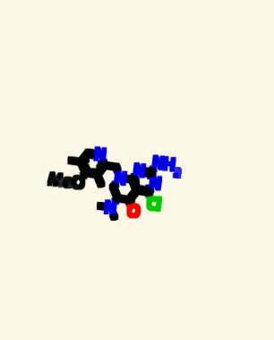 COc1c(C)cnc(CN2CC(N(C)C)C(=O)c3c(Cl)nc(N)nc32)c1C